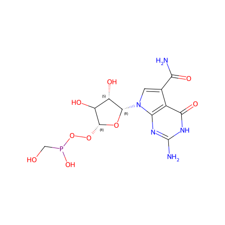 NC(=O)c1cn([C@@H]2O[C@H](OOP(O)CO)C(O)[C@@H]2O)c2nc(N)[nH]c(=O)c12